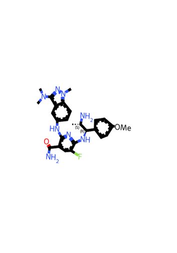 COc1ccc([C@@H](Nc2nc(Nc3ccc4c(c3)c(N(C)C)nn4C)c(C(N)=O)cc2F)[C@H](C)N)cc1